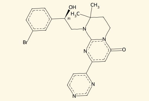 CC1(C)CCn2c(nc(-c3ccncn3)cc2=O)N1C[C@H](O)c1cccc(Br)c1